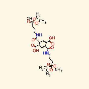 CO[Si](CCCNC(=O)c1cc(C(=O)O)c(C(=O)NCCC[Si](OC)(OC)OC)cc1C(=O)O)(OC)OC